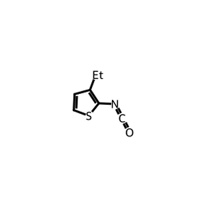 CCc1ccsc1N=C=O